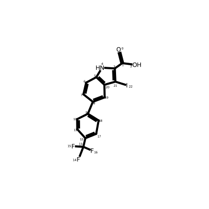 O=C(O)c1[nH]c2ccc(-c3ccc(C(F)(F)F)cc3)cc2c1I